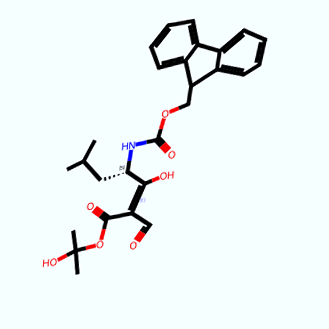 CC(C)C[C@H](NC(=O)OCC1c2ccccc2-c2ccccc21)/C(O)=C(/C=O)C(=O)OC(C)(C)O